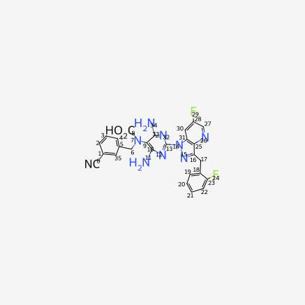 N#Cc1cccc(CN(C(=O)O)c2c(N)nc(-n3nc(Cc4ccccc4F)c4ncc(F)cc43)nc2N)c1